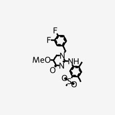 COC1CN(Cc2ccc(F)c(F)c2)C(Nc2cc(S(C)(=O)=O)c(C)cc2C)=NC1=O